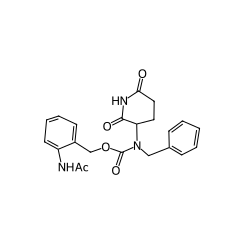 CC(=O)Nc1ccccc1COC(=O)N(Cc1ccccc1)C1CCC(=O)NC1=O